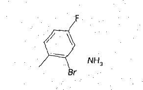 Cc1ccc(F)cc1Br.N